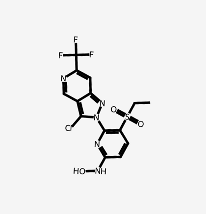 CCS(=O)(=O)c1ccc(NO)nc1-n1nc2cc(C(F)(F)F)ncc2c1Cl